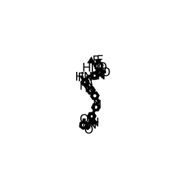 Cn1nc(N2C(=O)CCCC2=O)c2ccc(C3CCN(CC4CCC5(CC4)CCN(c4ncc(F)c(Nc6ccc7c(c6)c6c(c(=O)n7C)OCC(F)(F)[C@H](C7CC7)N6)n4)CC5)CC3)cc21